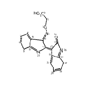 O=C(O)CO/N=C1\C2=CC=CCC2=NC1=C1C(=O)N=C2CC=CC=C21